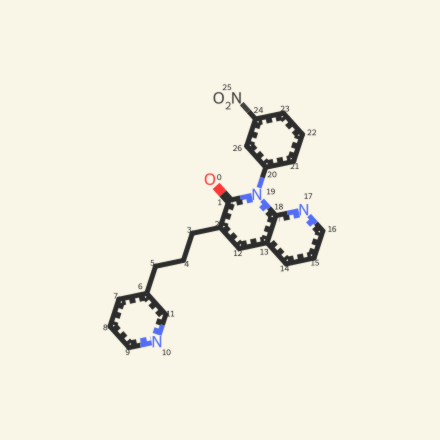 O=c1c(CCCc2cccnc2)cc2cccnc2n1-c1cccc([N+](=O)[O-])c1